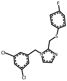 Fc1ccc(SCc2nccn2Cc2cc(Cl)cc(Cl)c2)cc1